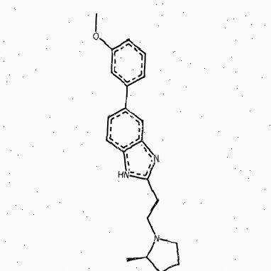 COc1cccc(-c2ccc3[nH]c(CCN4CCC[C@H]4C)nc3c2)c1